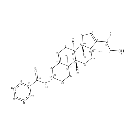 C[C@H](CO)C1=CC[C@H]2[C@@H]3CC=C4C[C@@H](OC(=O)c5ccccc5)CC[C@]4(C)[C@H]3CC[C@]12C